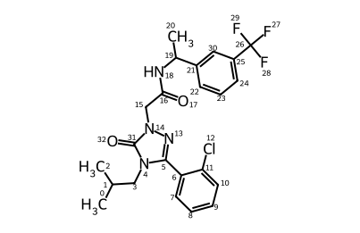 CC(C)Cn1c(-c2ccccc2Cl)nn(CC(=O)NC(C)c2cccc(C(F)(F)F)c2)c1=O